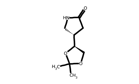 CC1(C)OC[C@H]([C@@H]2CNC(=O)C2)O1